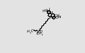 CCCCN(C)C(=O)CCCCCCCCCC[C@@H]1Cc2cc(O)c(I)cc2[C@H]2CC[C@]3(C)[C@@H](O)CC[C@H]3[C@H]12